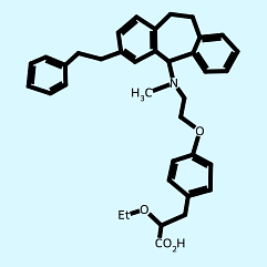 CCOC(Cc1ccc(OCCN(C)C2c3ccccc3CCc3ccc(CCc4ccccc4)cc32)cc1)C(=O)O